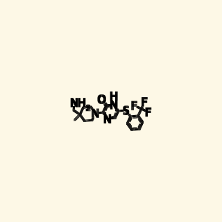 CC1(CN)CCN(c2ncc(Sc3ccccc3C(F)(F)F)[nH]c2=O)CC1